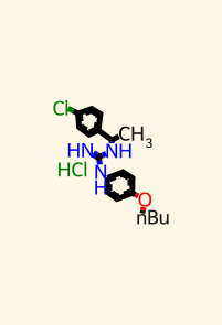 CCCCOc1ccc(NC(=N)NC(C)c2ccc(Cl)cc2)cc1.Cl